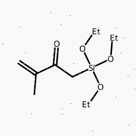 C=C(C)C(=O)C[Si](OCC)(OCC)OCC